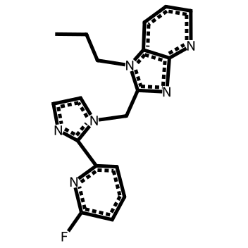 CCCn1c(Cn2ccnc2-c2cccc(F)n2)nc2ncccc21